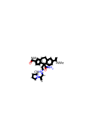 C=C(NC)c1ccc2c(c1)CCc1cc(C(=O)NC)ccc1C2(CCNCC(=C)N1CCCC1C#N)C(N)=O